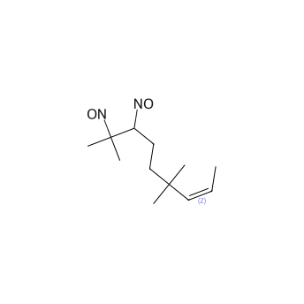 C/C=C\C(C)(C)CCC(N=O)C(C)(C)N=O